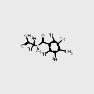 [2H]c1c([2H])c(C(=O)N([2H])C([2H])([2H])C(=O)O)c([2H])c([2H])c1C